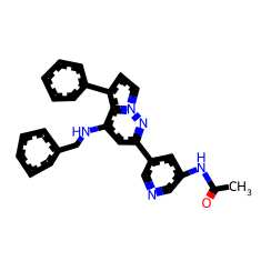 CC(=O)Nc1cncc(-c2cc(NCc3ccccc3)c3c(-c4ccccc4)ccn3n2)c1